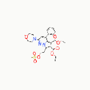 CCOC(=O)c1c(C(=O)OCC)c2c(-c3ccccc3)cc(N3CCOCC3)nn2c1CCOS(C)(=O)=O